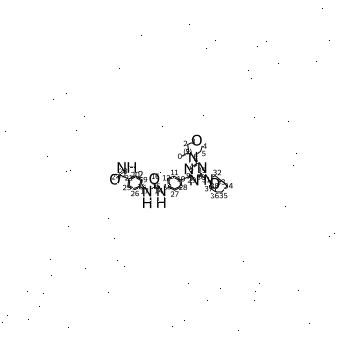 C[C@H]1COCCN1c1nc(-c2ccc(NC(=O)Nc3ccc(C(N)=O)cc3)cc2)nc(N2CC3CCC(C2)O3)n1